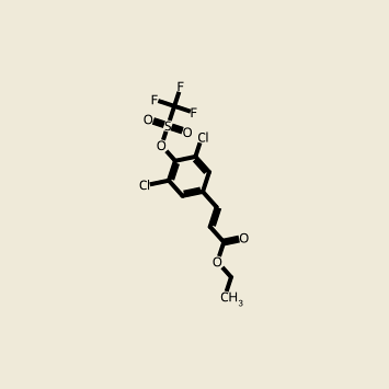 CCOC(=O)/C=C/c1cc(Cl)c(OS(=O)(=O)C(F)(F)F)c(Cl)c1